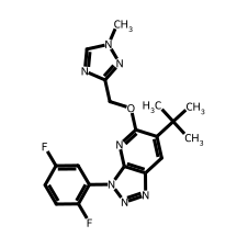 Cn1cnc(COc2nc3c(cc2C(C)(C)C)nnn3-c2cc(F)ccc2F)n1